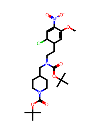 COC1=CC(CCN(CC2CCN(C(=O)OC(C)(C)C)CC2)C(=O)OC(C)(C)C)C(Cl)C=C1[N+](=O)[O-]